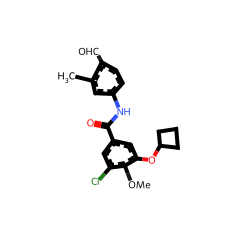 COc1c(Cl)cc(C(=O)Nc2ccc(C=O)c(C)c2)cc1OC1CCC1